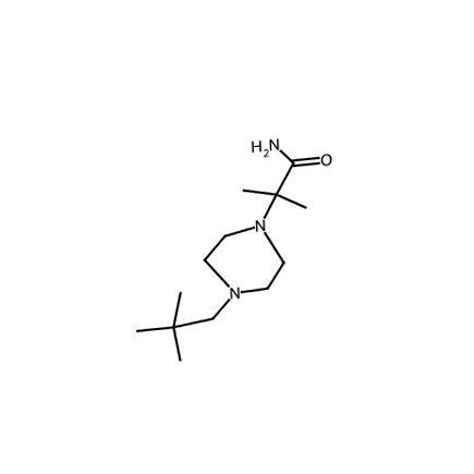 CC(C)(C)CN1CCN(C(C)(C)C(N)=O)CC1